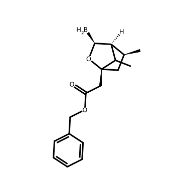 B[C@@H]1O[C@@]2(CC(=O)OCc3ccccc3)C[C@H](C)[C@H]1C2C